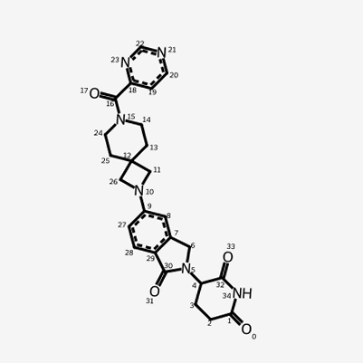 O=C1CCC(N2Cc3cc(N4CC5(CCN(C(=O)c6ccncn6)CC5)C4)ccc3C2=O)C(=O)N1